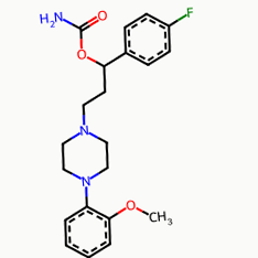 COc1ccccc1N1CCN(CCC(OC(N)=O)c2ccc(F)cc2)CC1